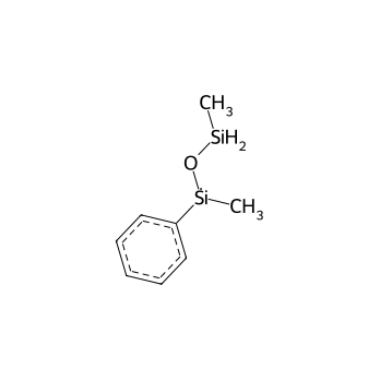 C[SiH2]O[Si](C)c1ccccc1